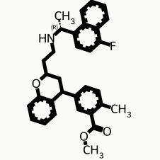 COC(=O)c1cc(C2CC(CCN[C@H](C)c3ccc(F)c4ccccc34)Oc3ccccc32)ccc1C